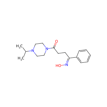 CC(C)N1CCN(C(=O)CCC(=NO)c2ccccc2)CC1